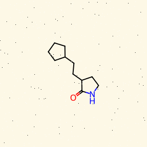 O=C1NCCC1CCC1CCCC1